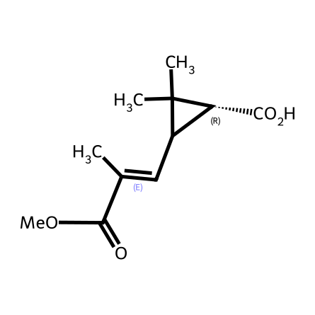 COC(=O)/C(C)=C/C1[C@@H](C(=O)O)C1(C)C